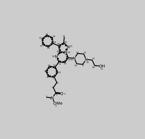 CON(C)C(=O)CCc1cccc(-c2cc(N3CCN(CCO)CC3)n3nc(C)c(-c4ccccc4)c3n2)c1